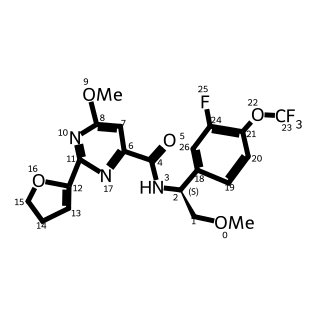 COC[C@@H](NC(=O)c1cc(OC)nc(C2=CCCO2)n1)c1ccc(OC(F)(F)F)c(F)c1